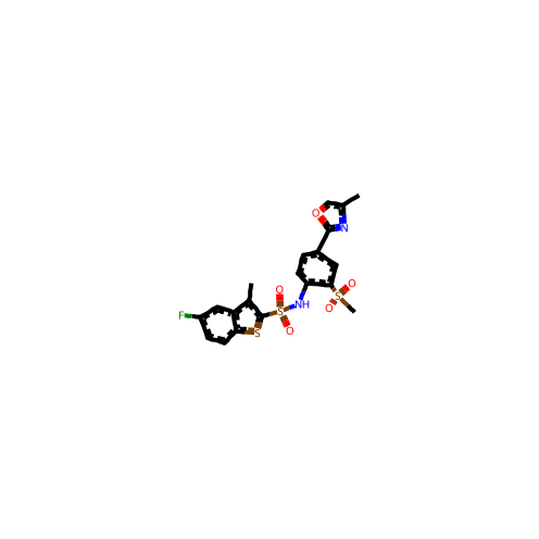 Cc1coc(-c2ccc(NS(=O)(=O)c3sc4ccc(F)cc4c3C)c(S(C)(=O)=O)c2)n1